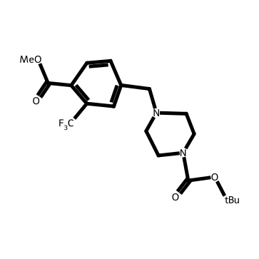 COC(=O)c1ccc(CN2CCN(C(=O)OC(C)(C)C)CC2)cc1C(F)(F)F